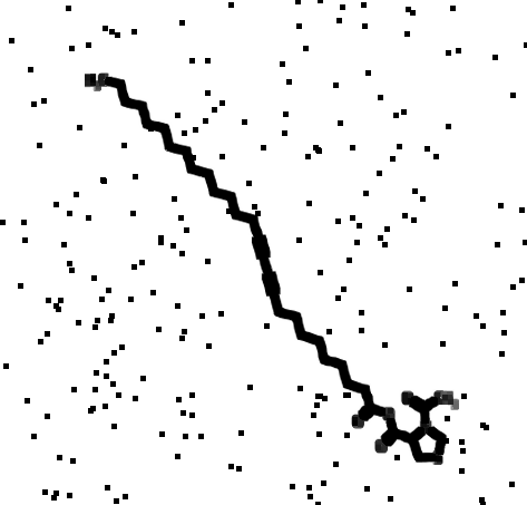 CCCCCCCCCCCCCCC#CC#CCCCCCCCCC(=O)OC(=O)C1CSCN1C(C)=O